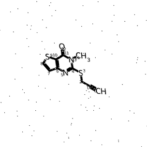 C#CCSc1nc2ccsc2c(=O)n1C